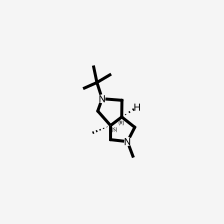 CN1C[C@@H]2CN(C(C)(C)C)C[C@]2(C)C1